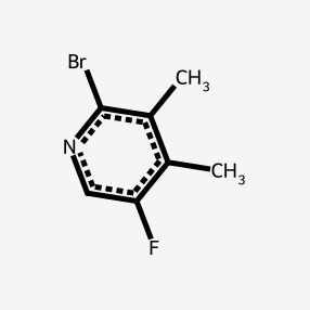 Cc1c(F)cnc(Br)c1C